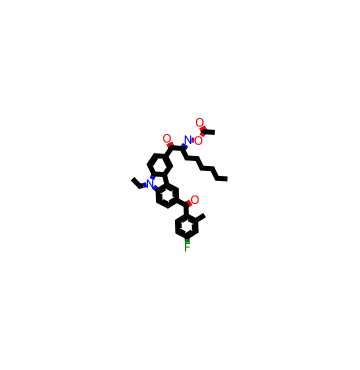 CCCCCC/C(=N\OC(C)=O)C(=O)C1=CC2c3cc(C(=O)c4ccc(F)cc4C)ccc3N(CC)C2C=C1